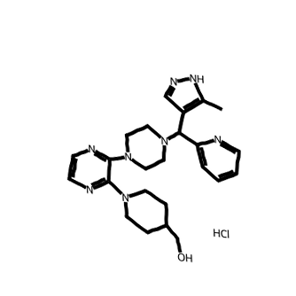 Cc1[nH]ncc1C(c1ccccn1)N1CCN(c2nccnc2N2CCC(CO)CC2)CC1.Cl